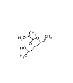 C=CC(CCCC(C)O)OC(=O)C(=C)C